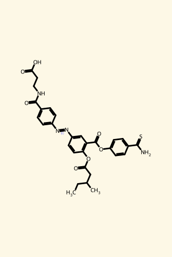 CCC(C)CC(=O)Oc1ccc(/N=N/c2ccc(C(=O)NCCC(=O)O)cc2)cc1C(=O)Oc1ccc(C(N)=S)cc1